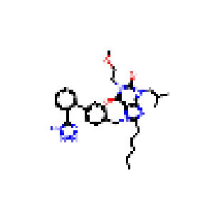 CCCCCc1nc2c(c(=O)n(CCOC)c(=O)n2CC(C)C)n1Cc1ccc(-c2ccccc2-c2nnn[nH]2)cc1